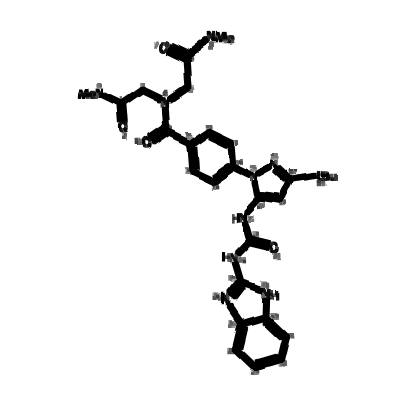 CNC(=O)CN(CC(=O)NC)C(=O)c1ccc(-n2nc(C(C)(C)C)cc2NC(=O)Nc2nc3ccccc3[nH]2)cc1